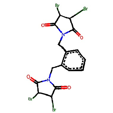 O=C1C(Br)C(Br)C(=O)N1Cc1ccccc1CN1C(=O)C(Br)C(Br)C1=O